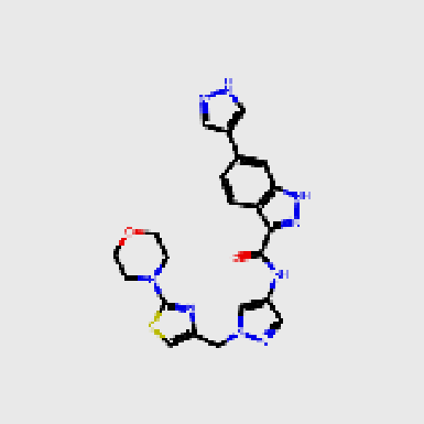 O=C(Nc1cnn(Cc2csc(N3CCOCC3)n2)c1)c1n[nH]c2cc(-c3cn[nH]c3)ccc12